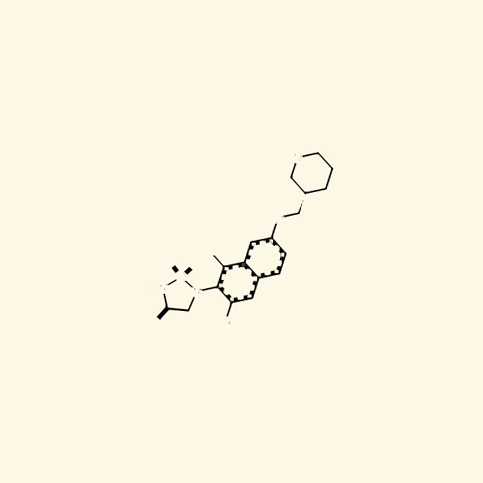 O=C1CN(c2c(O)cc3ccc(OC[C@@H]4CCCNC4)cc3c2F)S(=O)(=O)N1